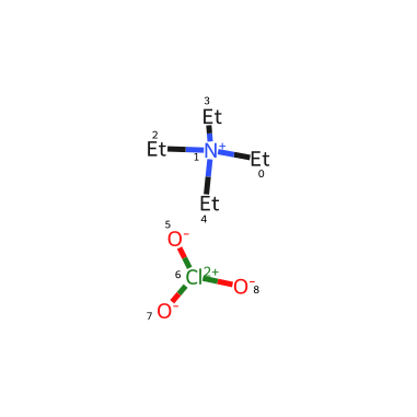 CC[N+](CC)(CC)CC.[O-][Cl+2]([O-])[O-]